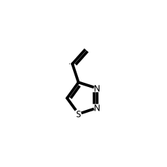 C=[C]c1csnn1